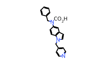 O=C(O)N(Cc1ccccc1)c1ccc2c(ccn2Cc2ccncc2)c1